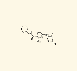 Cc1cc(Cl)ccc1Nc1ncc(C(=O)NCC2CCCCC2)c(C(F)(F)F)n1